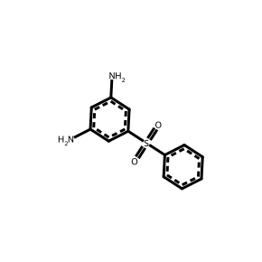 Nc1cc(N)cc(S(=O)(=O)c2ccccc2)c1